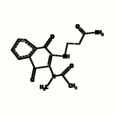 CC(=O)N(C)C1=C(NCCC(N)=O)C(=O)c2ccccc2C1=O